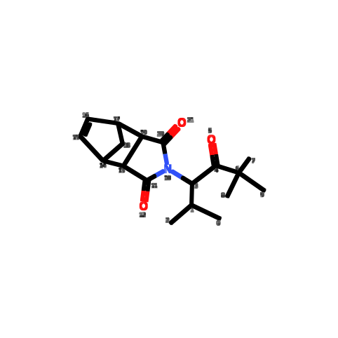 CC(C)C(C(=O)C(C)(C)C)N1C(=O)C2C3C=CC(C3)C2C1=O